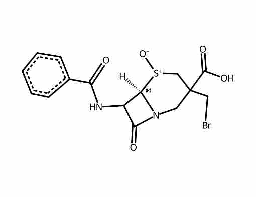 O=C(NC1C(=O)N2CC(CBr)(C(=O)O)C[S+]([O-])[C@H]12)c1ccccc1